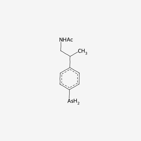 CC(=O)NCC(C)c1ccc([AsH2])cc1